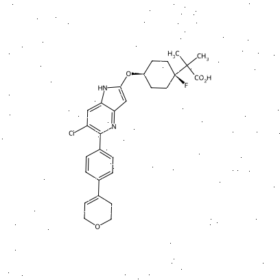 CC(C)(C(=O)O)[C@]1(F)CC[C@@H](Oc2cc3nc(-c4ccc(C5=CCOCC5)cc4)c(Cl)cc3[nH]2)CC1